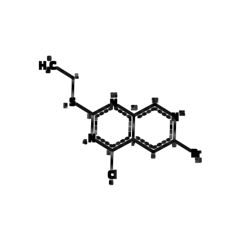 CCSc1nc(Cl)c2cc(Br)ncc2n1